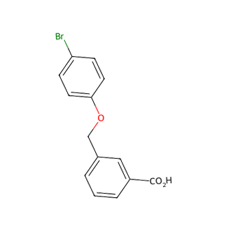 O=C(O)c1cccc(COc2ccc(Br)cc2)c1